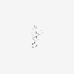 CC(C(=O)N1CCCCC1c1nc(-c2ccccc2)c[nH]1)N(C)C